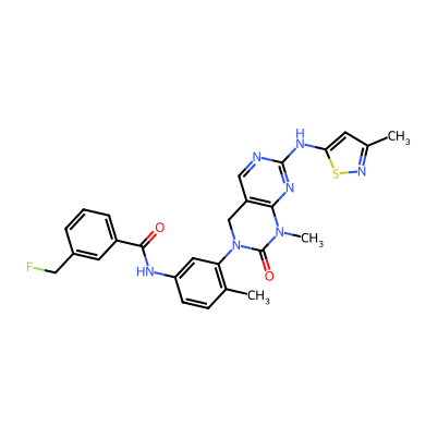 Cc1cc(Nc2ncc3c(n2)N(C)C(=O)N(c2cc(NC(=O)c4cccc(CF)c4)ccc2C)C3)sn1